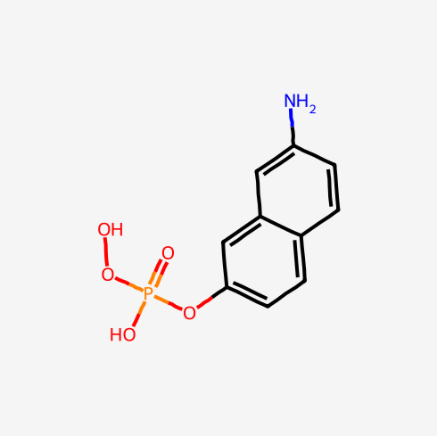 Nc1ccc2ccc(OP(=O)(O)OO)cc2c1